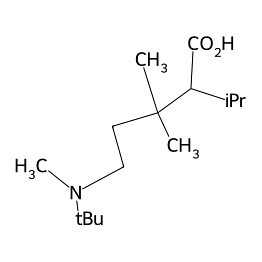 CC(C)C(C(=O)O)C(C)(C)CCN(C)C(C)(C)C